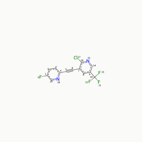 Fc1ccc(C#Cc2cc(C(F)(F)F)cnc2Cl)nc1